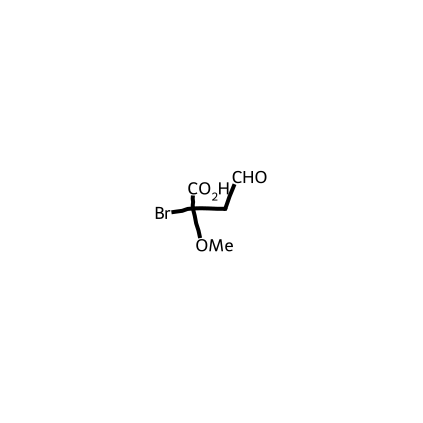 COC(Br)(CC=O)C(=O)O